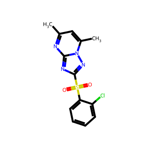 Cc1cc(C)n2nc(S(=O)(=O)c3ccccc3Cl)nc2n1